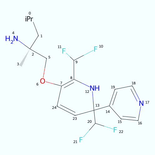 CC(C)C[C@](C)(N)COC1=C(C(F)F)NC(c2ccncc2)(C(F)F)C=C1